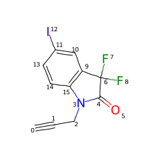 C#CCN1C(=O)C(F)(F)c2cc(I)ccc21